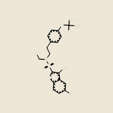 Cc1c(S(=O)(=O)N(CCc2ccc(OC(C)(C)C(=O)O)cc2)CC(F)(F)F)sc2ccc(Cl)cc12